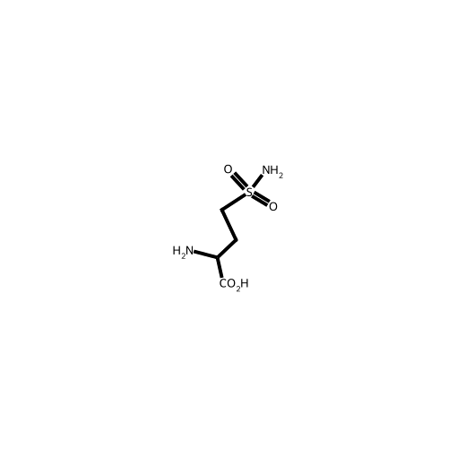 NC(CCS(N)(=O)=O)C(=O)O